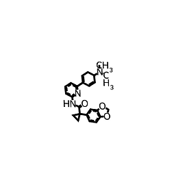 CN(C)C1C=CC(c2cccc(NC(=O)C3(c4ccc5c(c4)OCO5)CC3)n2)=CC1